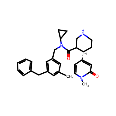 Cc1cc(Cc2ccccc2)cc(CN(C(=O)C2CNCC[C@@H]2c2ccn(C)c(=O)c2)C2CC2)c1